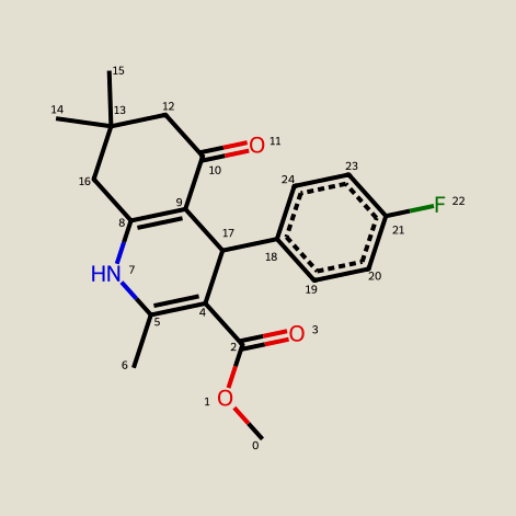 COC(=O)C1=C(C)NC2=C(C(=O)CC(C)(C)C2)C1c1ccc(F)cc1